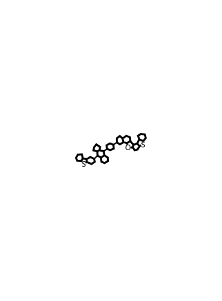 c1ccc2c(c1)sc1ccc(-c3c4ccccc4c(-c4ccc(-c5ccc6ccc7c(oc8ccc9sc%10ccccc%10c9c87)c6c5)cc4)c4ccccc34)cc12